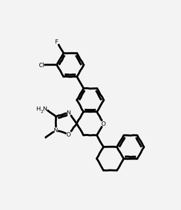 CN1OC2(CC(C3CCCc4ccccc43)Oc3ccc(-c4ccc(F)c(Cl)c4)cc32)N=C1N